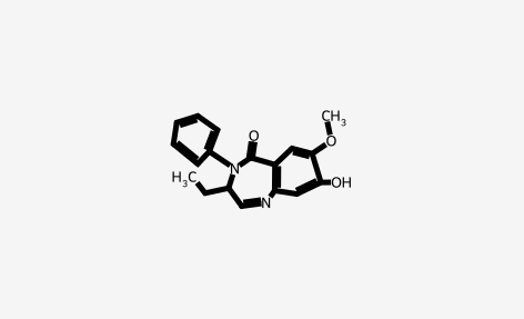 CCC1C=Nc2cc(O)c(OC)cc2C(=O)N1c1ccccc1